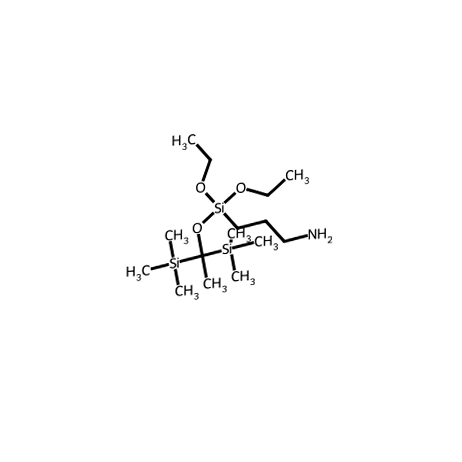 CCO[Si](CCCN)(OCC)OC(C)([Si](C)(C)C)[Si](C)(C)C